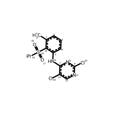 Cc1cccc(Nc2nc(Cl)ncc2Cl)c1S(=O)(=O)C(C)C